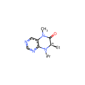 CC[C@@H]1C(=O)N(C)c2cncnc2N1C(C)C